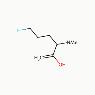 C=C(O)C(CCCF)NC